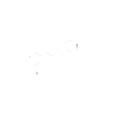 Nc1cccc(C=CS(=O)(=O)c2ccccc2)c1